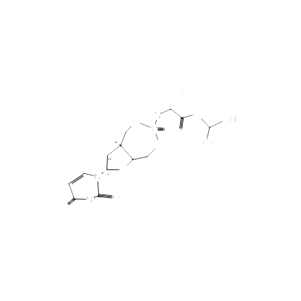 CC(C)OC(=O)[C@@H](C)NP1(=O)OC[C@H]2[C@@H](O)[C@H](n3ccc(=O)[nH]c3=O)O[C@@H]2CO1